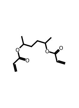 C=CC(=O)OC(C)CCC(C)OC(=O)C=C